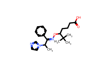 CC(/C(=N/OC(CCCC(=O)O)C(C)(C)C)c1ccccc1)n1ccnc1